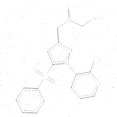 CC(C)(C)CN(Cc1cc(S(=O)(=O)c2ccccc2)n(-c2cccnc2C#N)n1)C(=O)O